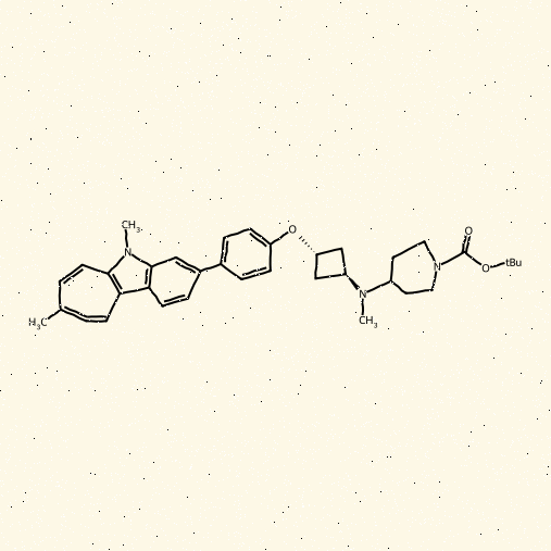 CC1=C=Cc2c(n(C)c3cc(-c4ccc(O[C@H]5C[C@H](N(C)C6CCN(C(=O)OC(C)(C)C)CC6)C5)cc4)ccc23)C=C1